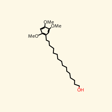 COc1cc(OC)c(OC)cc1CCCCCCCCCCCCCCCCO